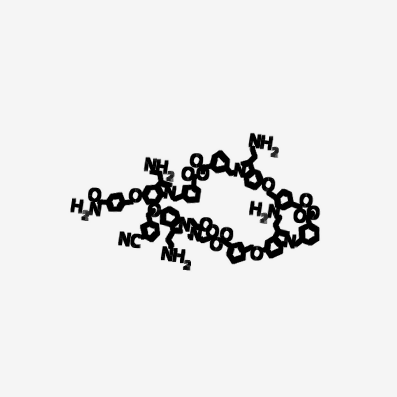 CN(CC(=O)OC(=O)c1cccc(COc2ccc3c(c2)c(CCN)cn3Cc2cccc(C(=O)OC(=O)c3ccc(COc4ccc5c(c4)c(CCN)cn5Cc4cccc(C(=O)OC(=O)c5cccc(Cn6cc(CCN)c7cc(OCc8ccc(C(N)=O)cc8)ccc76)c5)c4)cc3)c2)c1)C(=O)Cn1cc(CCN)c2cc(OCc3cccc(C#N)c3)ccc21